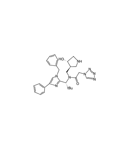 CC(C)(C)[C@H](c1nc(-c2ccccc2)cn1Cc1ccccc1)N(C[C@@H]1CNC[C@H]1O)C(=O)Cn1cnnn1